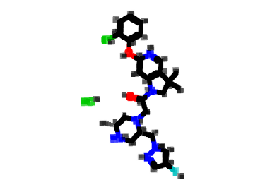 C[C@@H]1CN(CC(=O)N2CC(C)(C)c3cnc(Oc4ccccc4Cl)cc32)[C@@H](Cn2cc(F)cn2)CN1.Cl